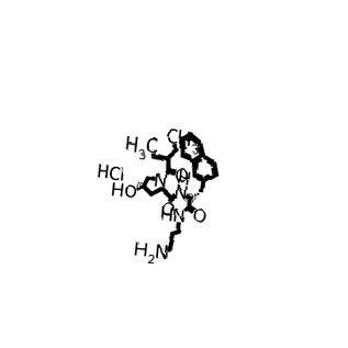 CCC(CC)C(=O)N1C[C@H](O)CC1C(=O)N[C@H](Cc1ccc2ccccc2c1)C(=O)NCCCN.Cl